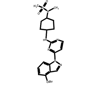 CC(C)COc1cccc2c1cnn2-c1ccnc(NC2CCC(N(C)S(C)(=O)=O)CC2)n1